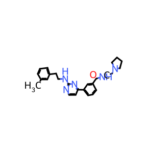 Cc1cccc(CCNc2nccc(-c3cccc(C(=O)NCCN4CCCC4)c3)n2)c1